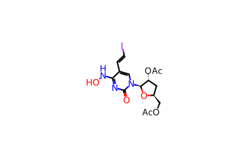 CC(=O)OC[C@@H]1C[C@@H](OC(C)=O)[C@H](n2cc(/C=C/I)c(NO)nc2=O)O1